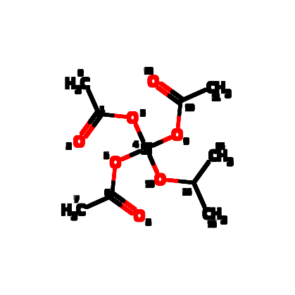 CC(=O)O[Si](OC(C)=O)(OC(C)=O)OC(C)C